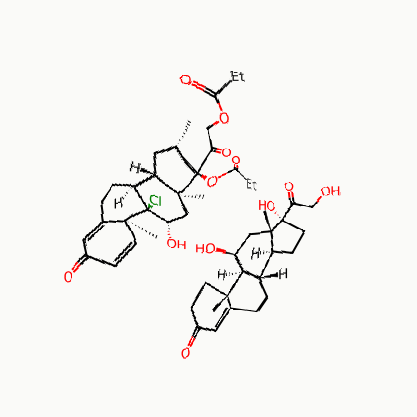 CCC(=O)OCC(=O)[C@@]1(OC(=O)CC)[C@@H](C)C[C@H]2[C@@H]3CCC4=CC(=O)C=C[C@]4(C)[C@@]3(Cl)[C@@H](O)C[C@@]21C.C[C@]12CCC(=O)C=C1CC[C@@H]1[C@@H]2[C@@H](O)C[C@@]2(C)[C@H]1CC[C@]2(O)C(=O)CO